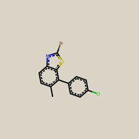 Cc1ccc2nc(Br)sc2c1-c1ccc(Cl)cc1